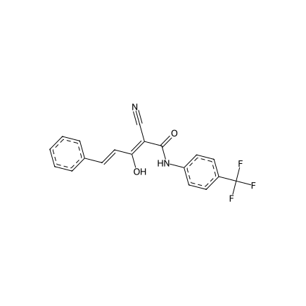 N#CC(C(=O)Nc1ccc(C(F)(F)F)cc1)=C(O)C=Cc1ccccc1